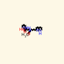 COCCN(CCCCc1ccc2c(n1)NCCC2)CC[C@H](Nc1ccccn1)C(=O)O